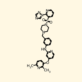 Cc1ccc(Oc2ccnc(Nc3cccc(CN4CCN(S(=O)(=O)c5cccnc5-n5cncn5)CC4)c3)c2)c(C)n1